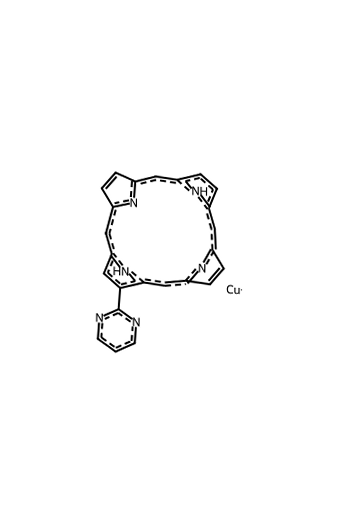 C1=Cc2cc3cc(-c4ncccn4)c(cc4nc(cc5ccc(cc1n2)[nH]5)C=C4)[nH]3.[Cu]